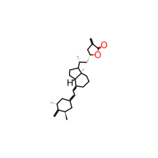 C=C1C[C@@H](C[C@@H](C)C2CC[C@H]3/C(=C/C=C4C[C@@H](C)C(=C)[C@H](C)C4)CCC[C@]23C)OC1=O